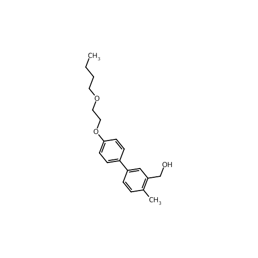 CCCCOCCOc1ccc(-c2ccc(C)c(CO)c2)cc1